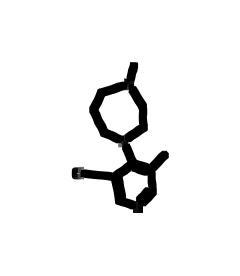 Cc1cncc(Cl)c1N1CCCN(C)CC1